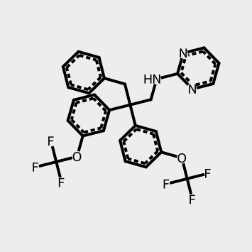 FC(F)(F)Oc1cccc(C(CNc2ncccn2)(Cc2ccccc2)c2cccc(OC(F)(F)F)c2)c1